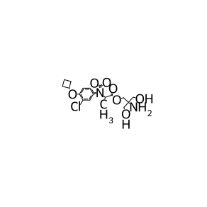 CC(C(=O)OCC(N)(CO)CO)n1c(=O)oc2cc(OC3CCC3)c(Cl)cc21